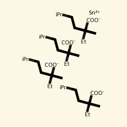 CCC(C)(CCC(C)C)C(=O)[O-].CCC(C)(CCC(C)C)C(=O)[O-].CCC(C)(CCC(C)C)C(=O)[O-].CCC(C)(CCC(C)C)C(=O)[O-].[Sn+4]